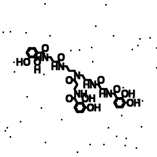 O=C(CCNC(=O)c1cccc(O)c1O)NCCCN(CCCNC(=O)CCNC(=O)c1cccc(O)c1O)C(=O)CCNC(=O)c1cccc(O)c1O